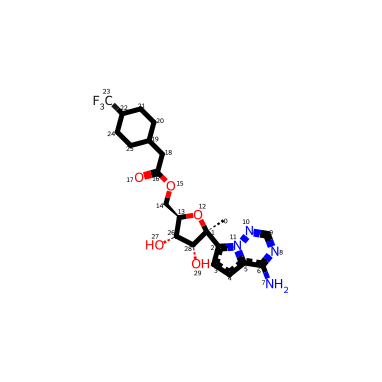 C[C@@]1(c2ccc3c(N)ncnn23)O[C@H](COC(=O)CC2CCC(C(F)(F)F)CC2)[C@@H](O)[C@H]1O